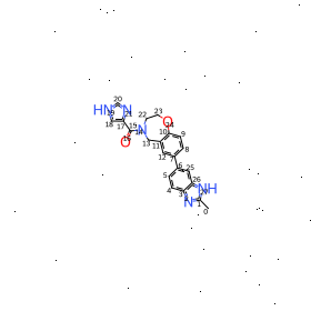 Cc1nc2ccc(-c3ccc4c(c3)CN(C(=O)c3c[nH]cn3)CCO4)cc2[nH]1